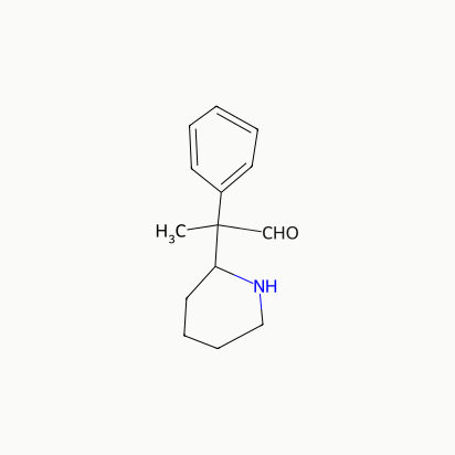 CC(C=O)(c1ccccc1)C1CCCCN1